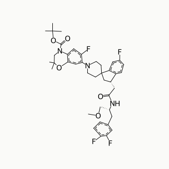 COC[C@@H](Cc1ccc(F)c(F)c1)NC(=O)C[C@@H]1CC2(CCN(c3cc4c(cc3F)N(C(=O)OC(C)(C)C)CC(C)(C)O4)CC2)c2cc(F)ccc21